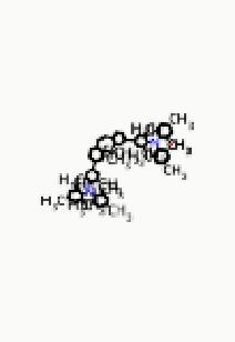 Cc1cc(C)c(N(c2c(C)cc(C)cc2C)c2c(C)cc(-c3ccc4c(c3)[Si](C)(C)c3cc(-c5cc(C)c(N(c6c(C)cc(C)cc6C)c6c(C)cc(C)cc6C)c(C)c5)ccc3C=C4)cc2C)c(C)c1